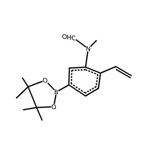 C=Cc1ccc(B2OC(C)(C)C(C)(C)O2)cc1N(C)C=O